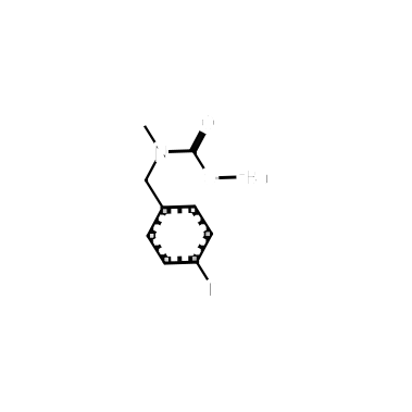 CN(Cc1ccc(F)cc1)C(=O)OC(C)(C)C